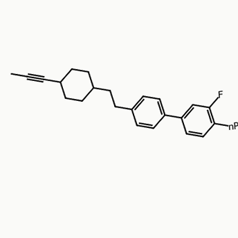 CC#CC1CCC(CCc2ccc(-c3ccc(CCC)c(F)c3)cc2)CC1